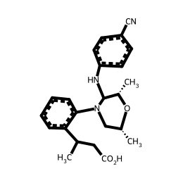 CC(CC(=O)O)c1ccccc1N1C[C@@H](C)O[C@@H](C)C1Nc1ccc(C#N)cc1